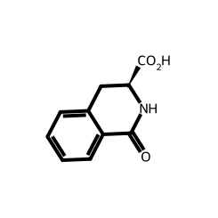 O=C1N[C@H](C(=O)O)Cc2ccccc21